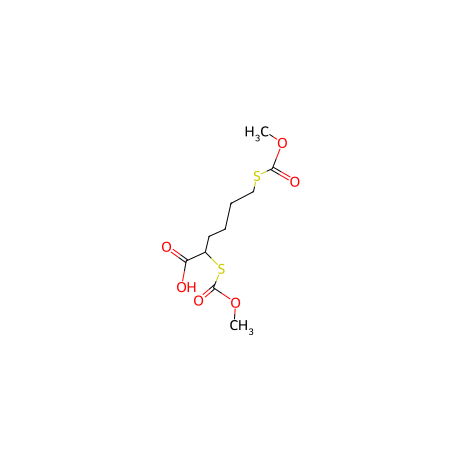 COC(=O)SCCCCC(SC(=O)OC)C(=O)O